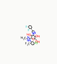 Cc1nc([C@@H]2O[C@H](CO)[C@H](O)[C@H](n3cc(-c4cccc(F)c4F)cn3)[C@H]2O)n(-c2cc(Cl)ccc2C(F)(F)F)n1